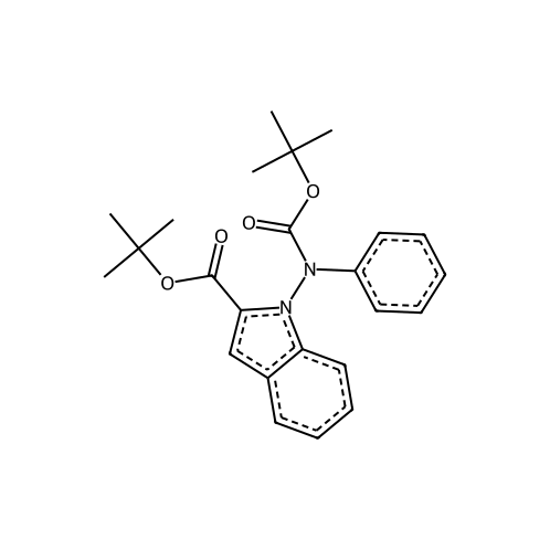 CC(C)(C)OC(=O)c1cc2ccccc2n1N(C(=O)OC(C)(C)C)c1ccccc1